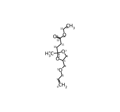 C=CCOCC1COC(C)(CCC(=O)OCC)O1